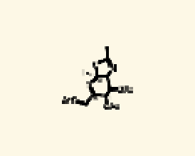 CC(=O)OC[C@H]1O[C@H]2OC(C)=NC2C(OC(C)=O)[C@H]1OC(C)=O